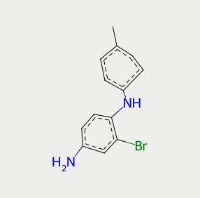 Cc1ccc(Nc2ccc(N)cc2Br)cc1